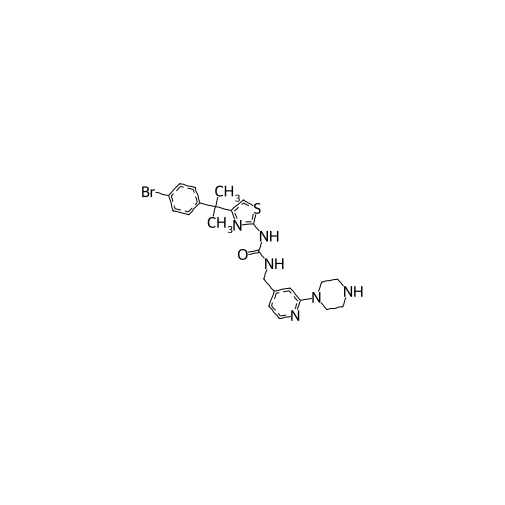 CC(C)(c1ccc(Br)cc1)c1csc(NC(=O)NCc2ccnc(N3CCNCC3)c2)n1